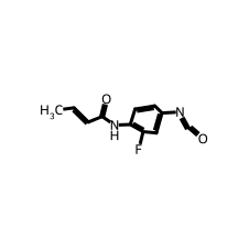 C/C=C/C(=O)Nc1ccc(N=C=O)cc1F